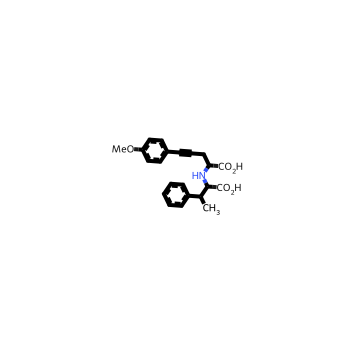 COc1ccc(C#CCC(NC(C(=O)O)C(C)c2ccccc2)C(=O)O)cc1